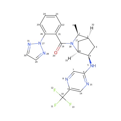 C[C@H]1[C@H]2C[C@@H](Nc3cnc(C(F)(F)F)cn3)[C@H](C2)N1C(=O)c1ccccc1-n1nccn1